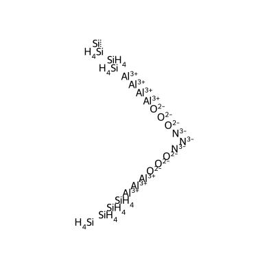 [Al+3].[Al+3].[Al+3].[Al+3].[Al+3].[Al+3].[Al+3].[N-3].[N-3].[N-3].[O-2].[O-2].[O-2].[O-2].[O-2].[O-2].[SiH4].[SiH4].[SiH4].[SiH4].[SiH4].[SiH4].[SiH4].[Si]